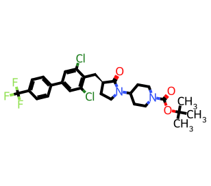 CC(C)(C)OC(=O)N1CCC(N2CC[C@@H](Cc3c(Cl)cc(-c4ccc(C(F)(F)F)cc4)cc3Cl)C2=O)CC1